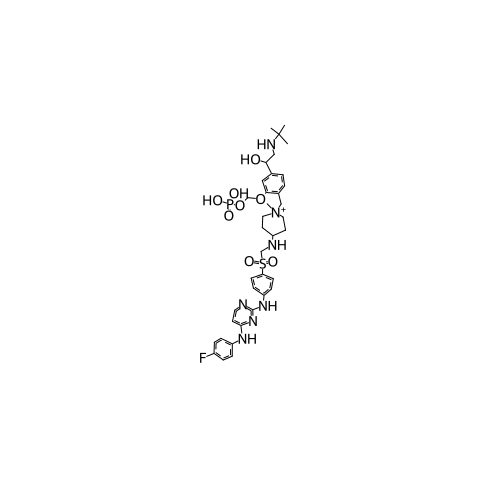 CC(C)(C)NCC(O)c1ccc(C[N+]2(C)CCC(NCS(=O)(=O)c3ccc(Nc4nccc(Nc5ccc(F)cc5)n4)cc3)CC2)c(OCOP(=O)(O)O)c1